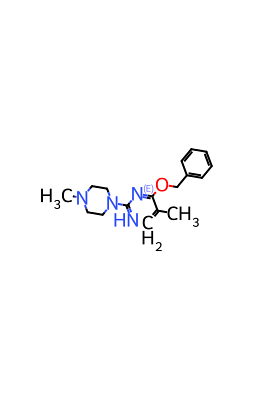 C=C(C)/C(=N\C(=N)N1CCN(C)CC1)OCc1ccccc1